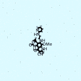 COc1c(NCCNc2ccccn2)c(C2CC2)c(NC(=O)C(F)(F)F)c2c(=O)c(C#N)c(F)[nH]c12